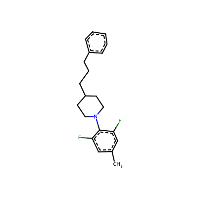 Cc1cc(F)c(N2CCC(CCCc3ccccc3)CC2)c(F)c1